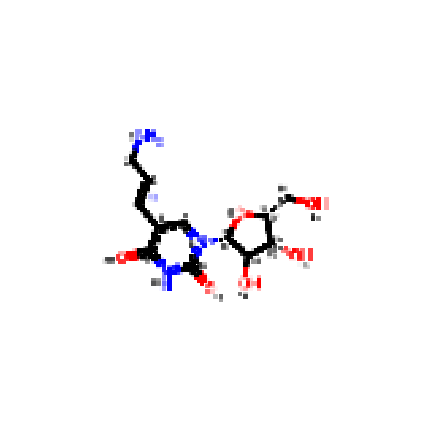 NC/C=C/c1cn([C@@H]2O[C@H](CO)[C@H](O)C2O)c(=O)[nH]c1=O